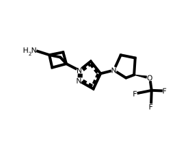 NC12CC(n3cc(N4CC[C@@H](OC(F)(F)F)C4)cn3)(C1)C2